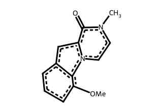 COc1cccc2cc3c(=O)n(C)ccn3c12